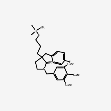 COc1cc(CN2CCC(CCCO[Si](C)(C)C(C)(C)C)(Cc3ccc(F)cc3)C2=O)cc(OC)c1OC